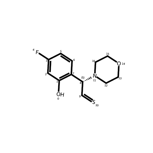 Oc1cc(F)ccc1[C@@H](C=S)N1CCOCC1